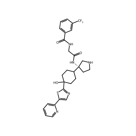 O=C(CNC(=O)c1cccc(C(F)(F)F)c1)N[C@@]1(C2CCC(O)(c3ncc(-c4ccccn4)s3)CC2)CCNC1